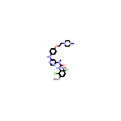 COC1=C(Cl)C(NC(=O)N(C)c2cc(Nc3ccc(OCCN4CCN(C)CC4)cc3)ncn2)C(Cl)(OC)C=C1